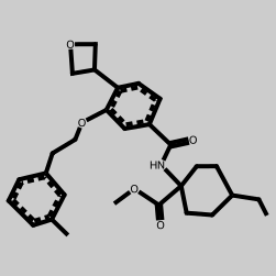 CCC1CCC(NC(=O)c2ccc(C3COC3)c(OCCc3cccc(C)c3)c2)(C(=O)OC)CC1